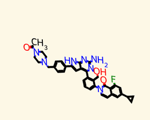 CC(=O)N1CCN(Cc2ccc(-c3cc4c(-c5cccc(-n6ccc7cc(C8CC8)cc(F)c7c6=O)c5CO)nc(N)nc4[nH]3)cc2)CC1